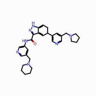 O=C(Nc1cncc(CN2CCCCC2)c1)c1n[nH]c2c1=CC(c1cncc(CN3CCCC3)c1)CC=2